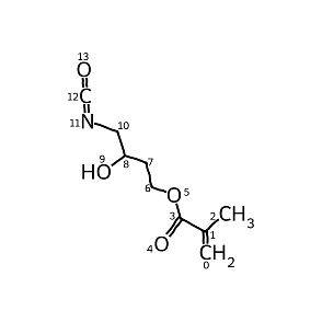 C=C(C)C(=O)OCCC(O)CN=C=O